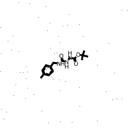 Cc1ccc(CNC(=O)NNC(=O)OC(C)(C)C)cc1